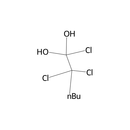 CCCCC(Cl)(Cl)C(O)(O)Cl